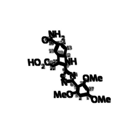 COc1cc(OC)c(-c2nsc(-c3[nH]c4ccc(C(N)=O)cc4c3CC(=O)O)n2)c(OC)c1